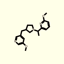 COc1cncc(CC2CCN(C(C)c3cccc(OC)n3)C2)c1